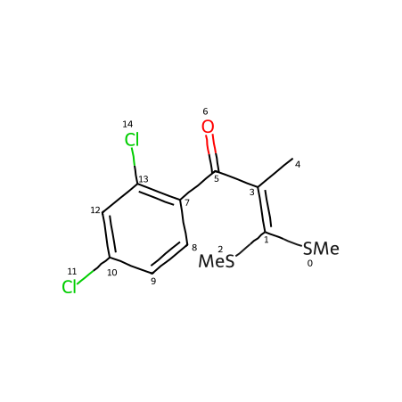 CSC(SC)=C(C)C(=O)c1ccc(Cl)cc1Cl